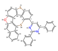 c1ccc(-c2cc(-c3ccc4sc5ccc6oc7cc8ccccc8c8sc3c4c5c6c78)nc(-c3ccccc3)n2)cc1